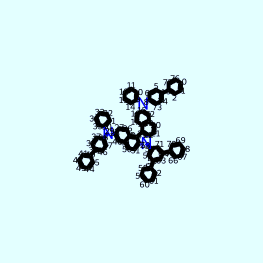 c1ccc(-c2ccc(N(c3ccccc3)c3ccc4c(ccc5c4c4c6ccc(N(c7ccccc7)c7ccc(-c8ccccc8)cc7)cc6ccc4n5-c4cc(-c5ccccc5)cc(-c5ccccc5)c4)c3)cc2)cc1